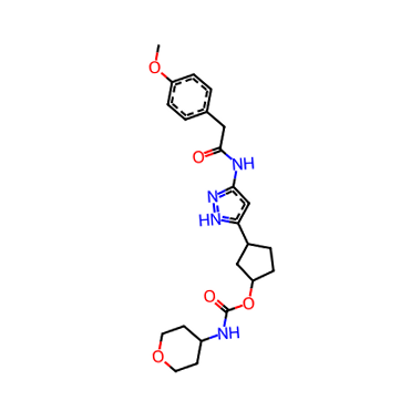 COc1ccc(CC(=O)Nc2cc(C3CCC(OC(=O)NC4CCOCC4)C3)[nH]n2)cc1